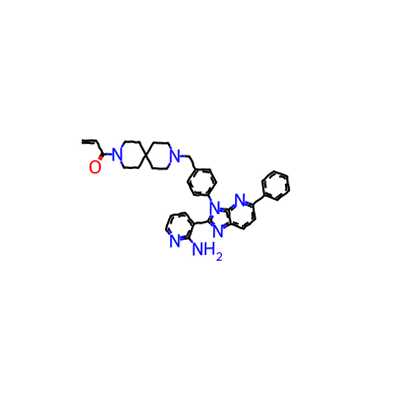 C=CC(=O)N1CCC2(CCN(Cc3ccc(-n4c(-c5cccnc5N)nc5ccc(-c6ccccc6)nc54)cc3)CC2)CC1